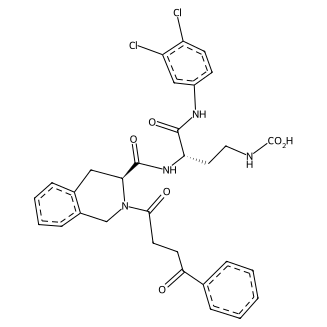 O=C(O)NCC[C@H](NC(=O)[C@@H]1Cc2ccccc2CN1C(=O)CCC(=O)c1ccccc1)C(=O)Nc1ccc(Cl)c(Cl)c1